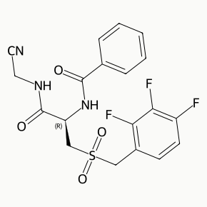 N#CCNC(=O)[C@H](CS(=O)(=O)Cc1ccc(F)c(F)c1F)NC(=O)c1ccccc1